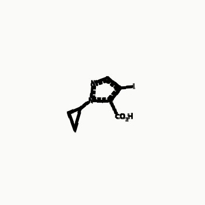 O=C(O)c1c(I)cnn1C1CC1